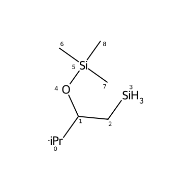 C[C](C)C(C[SiH3])O[Si](C)(C)C